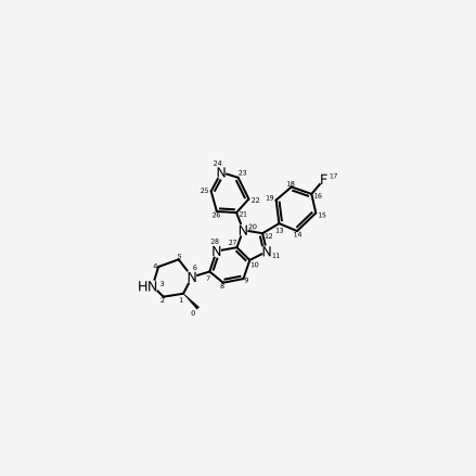 C[C@H]1CNCCN1c1ccc2nc(-c3ccc(F)cc3)n(-c3ccncc3)c2n1